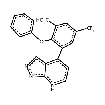 O=C(O)c1cc(C(F)(F)F)cc(-c2cc[nH]c3nncc2-3)c1Oc1ccccc1